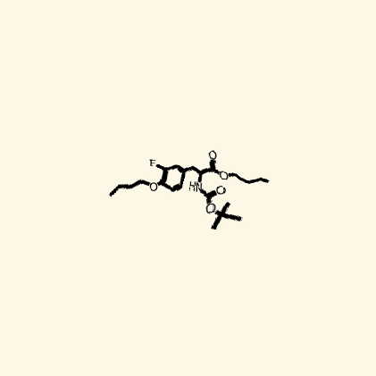 CCCCOC(=O)C(Cc1ccc(OCCCC)c(F)c1)NC(=O)OC(C)(C)C